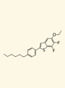 CCCCCCc1ccc(-c2cc3cc(OCC)c(F)c(F)c3s2)cc1